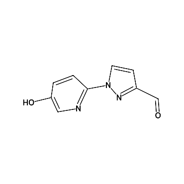 O=Cc1ccn(-c2ccc(O)cn2)n1